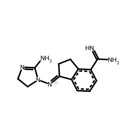 N=C(N)c1cccc2c1CC/C2=N\N1CCN=C1N